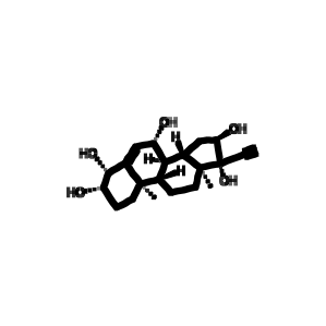 C#C[C@]1(O)[C@H](O)C[C@H]2[C@@H]3[C@@H](O)C=C4[C@@H](O)[C@@H](O)CC[C@]4(C)[C@H]3CC[C@@]21C